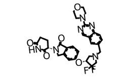 O=C1CC[C@H](N2Cc3cc(O[C@@H]4CN(Cc5ccc6nc(N7CCOCC7)ncc6c5)CC4(F)F)ccc3C2=O)C(=O)N1